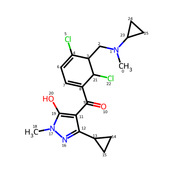 CN(CC1C(Cl)=CC=C(C(=O)c2c(C3CC3)nn(C)c2O)C1Cl)C1CC1